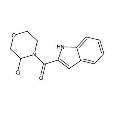 O=C(c1cc2ccccc2[nH]1)N1CCOCC1Cl